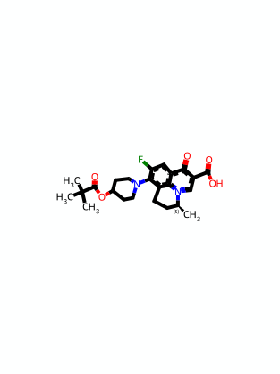 C[C@H]1CCc2c(N3CCC(OC(=O)C(C)(C)C)CC3)c(F)cc3c(=O)c(C(=O)O)cn1c23